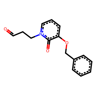 O=CCCn1cccc(OCc2ccccc2)c1=O